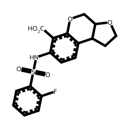 O=C(O)c1c(NS(=O)(=O)c2ccccc2F)ccc2c1OCC1OCCC21